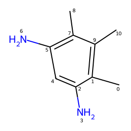 Cc1c(N)cc(N)c(C)c1C